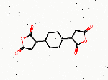 O=C1CC(C2CCC(C3CC(=O)OC3=O)CC2)C(=O)O1